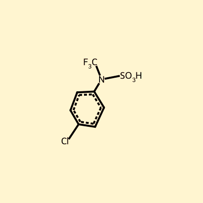 O=S(=O)(O)N(c1ccc(Cl)cc1)C(F)(F)F